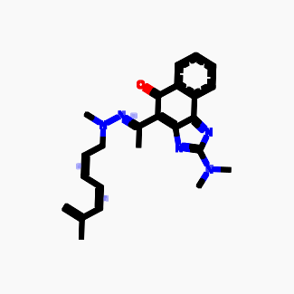 C=C(C)/C=C\C=C/CN(C)/N=C(\C)C1=C2N=C(N(C)C)N=C2c2ccccc2C1=O